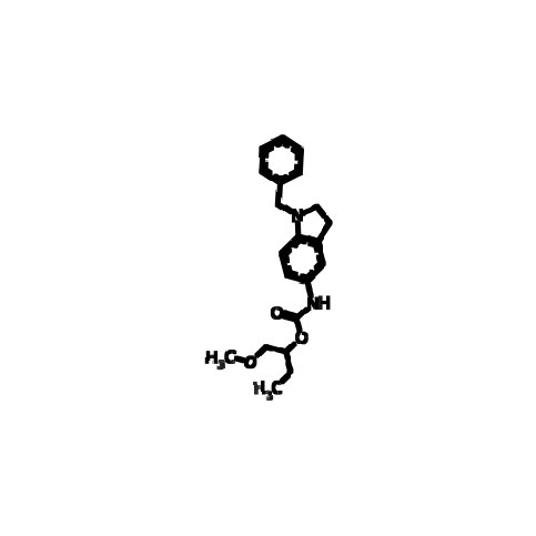 CCC(COC)OC(=O)Nc1ccc2c(c1)CCN2Cc1ccccc1